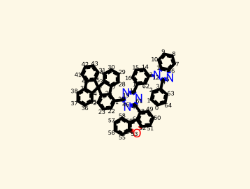 c1ccc(-c2nc3ccccc3n2-c2cccc(-c3nc(-c4cccc5c4-c4ccccc4C54c5ccccc5-c5ccccc54)nc(-c4cccc5oc6ccccc6c45)n3)c2)cc1